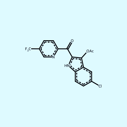 CC(=O)Oc1c(C(=O)c2ccc(C(F)(F)F)cn2)[nH]c2ccc(Cl)cc12